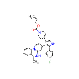 C=CCOC(=O)N1CC=C(c2c[nH]c(-c3ccc(F)cc3)c2-c2ccnc(NC(C)c3ccccc3)c2)CC1